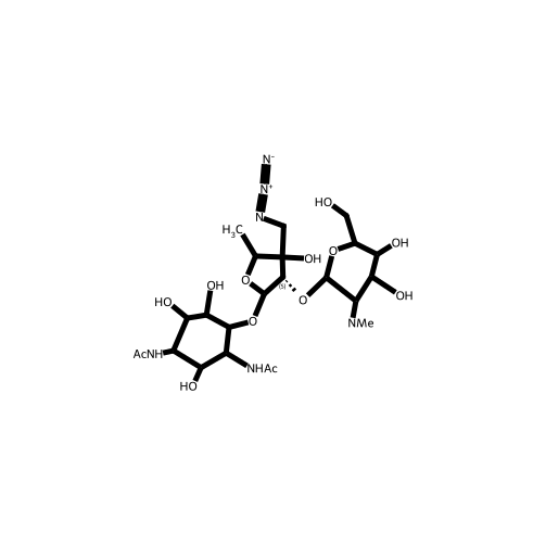 CNC1C(O[C@@H]2C(OC3C(O)C(O)C(NC(C)=O)C(O)C3NC(C)=O)OC(C)C2(O)CN=[N+]=[N-])OC(CO)C(O)C1O